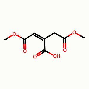 COC(=O)C=C(CC(=O)OC)C(=O)O